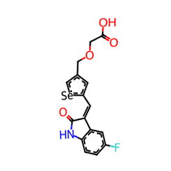 O=C(O)COCc1c[se]c(C=C2C(=O)Nc3ccc(F)cc32)c1